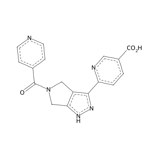 O=C(O)c1ccc(-c2n[nH]c3c2CN(C(=O)c2ccncc2)C3)nc1